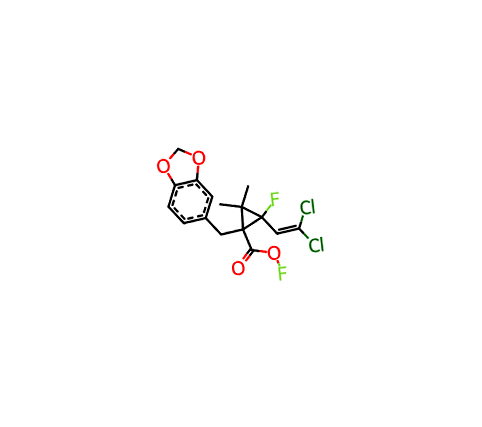 CC1(C)C(F)(C=C(Cl)Cl)C1(Cc1ccc2c(c1)OCO2)C(=O)OF